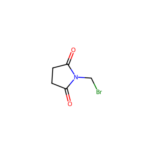 O=C1CCC(=O)N1CBr